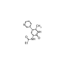 CCC(=O)Nc1cc(-c2cccnc2)c(C)[nH]c1=O